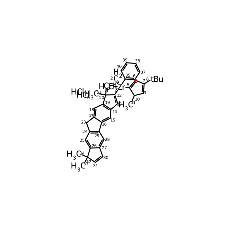 Cl.Cl.[CH2]=[Zr]([CH3])([C]1=CC(C(C)(C)C)=CC1C)([C]1=Cc2cc3c(cc2C1(C)C)Cc1cc2c(cc1-3)C=CC2(C)C)[c]1ccccc1